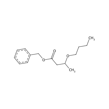 CCCCOC(C)CC(=O)OCc1ccccc1